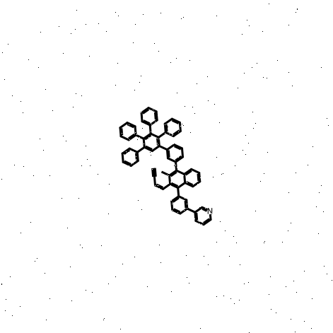 C#C/C=C\c1c(C)c(-c2cccc(-c3cc(-c4ccccc4)c(-c4ccccc4)c(-c4ccccc4)c3-c3ccccc3)c2)c2ccccc2c1-c1cccc(-c2cccnc2)c1